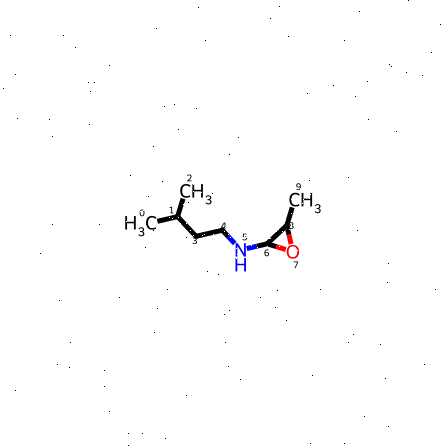 CC(C)CCNC1OC1C